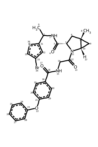 CC(NC(=O)[C@@H]1C[C@]2(C)C[C@@H]2N1C(=O)CNC(=O)c1ccc(Oc2ccccc2)cc1)c1cc(Br)cs1